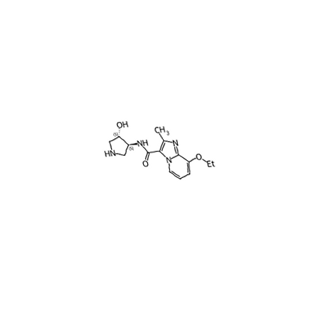 CCOc1cccn2c(C(=O)N[C@H]3CNC[C@@H]3O)c(C)nc12